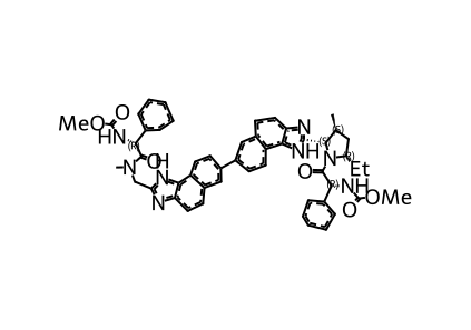 CC[C@@H]1C[C@H](C)[C@@H](c2nc3ccc4cc(-c5ccc6c(ccc7nc(CN(C)C(=O)[C@H](NC(=O)OC)c8ccccc8)[nH]c76)c5)ccc4c3[nH]2)N1C(=O)[C@H](NC(=O)OC)c1ccccc1